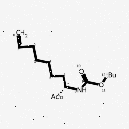 C=CCCCCC[C@H](NC(=O)OC(C)(C)C)C(C)=O